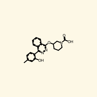 Cc1ccc(-c2nnc(OC3CCCN(C(=O)O)C3)c3ccccc23)c(O)c1